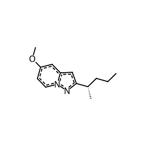 CCC[C@H](C)c1cc2cc(OC)ccn2n1